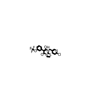 O=c1c(-c2cccc(OC(F)(F)F)c2)c(O)n(Cc2ccc(Cl)nc2)c2scc[n+]12